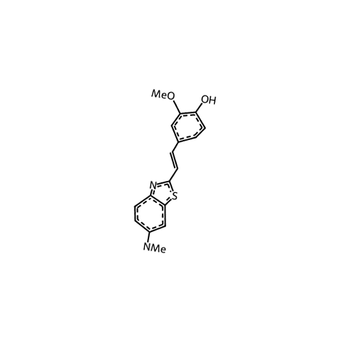 CNc1ccc2nc(/C=C/c3ccc(O)c(OC)c3)sc2c1